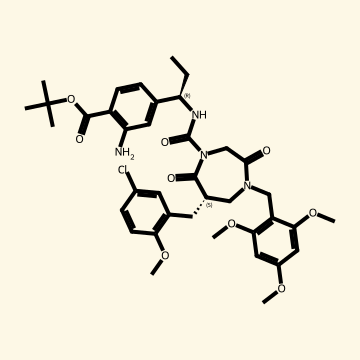 CC[C@@H](NC(=O)N1CC(=O)N(Cc2c(OC)cc(OC)cc2OC)C[C@H](Cc2cc(Cl)ccc2OC)C1=O)c1ccc(C(=O)OC(C)(C)C)c(N)c1